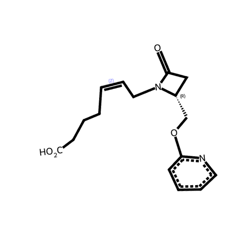 O=C(O)CCC/C=C\CN1C(=O)C[C@@H]1COc1ccccn1